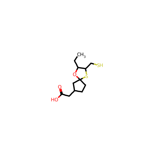 CCC1OC2(CCC(CC(=O)O)C2)SC1CS